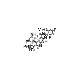 COc1cc(F)cc(F)c1-c1nccc(Nc2cc(N3C[C@@H](N)C[C@H](F)C3)c(-c3cnn(C(C)C)c3)cn2)n1